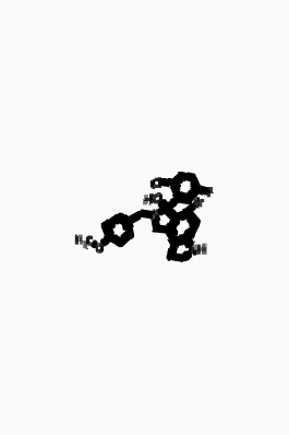 COc1ccc(CN2Cc3c4c(cc(Br)c3C2(O)c2cc(F)ccc2Cl)NCC4)cc1